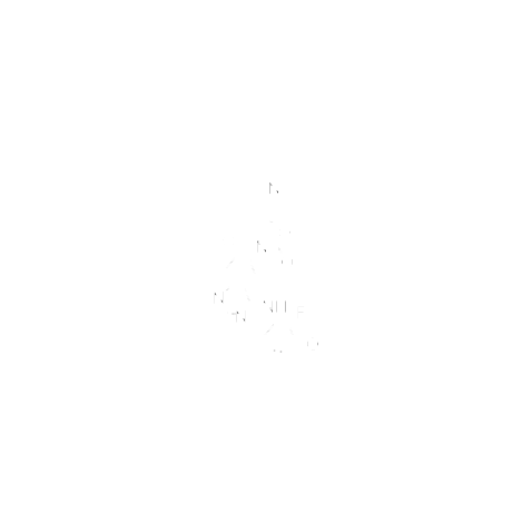 COc1cc2ncnc(Nc3c(F)ccc(OC)c3F)c2cc1N1CC2(CCN(C)CC2)OC1=O